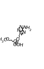 COCCCOP(=O)(O)COCCn1cnc2c(N)ncnc21